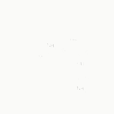 NC(=O)c1ccc(C(N)=O)cc1.O=C(O)C(=O)O